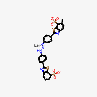 Cc1ccc2nc(-c3ccc(/N=N/Nc4ccc(-c5nc6cccc(S(=O)(=O)[O-])c6s5)cc4)cc3)sc2c1S(=O)(=O)[O-].[Na+].[Na+]